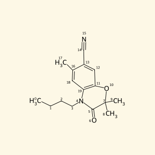 CCCCN1C(=O)C(C)(C)Oc2cc(C#N)c(C)cc21